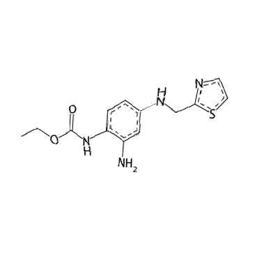 CCOC(=O)Nc1ccc(NCc2nccs2)cc1N